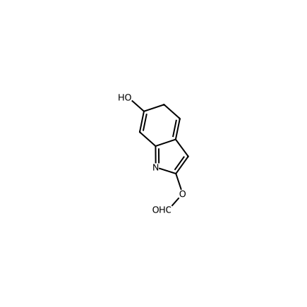 O=COC1=CC2=CCC(O)=CC2=N1